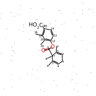 CC1=CCC=C(C)C1(C)C(=O)Oc1ccc(C(=O)O)c(C)c1C